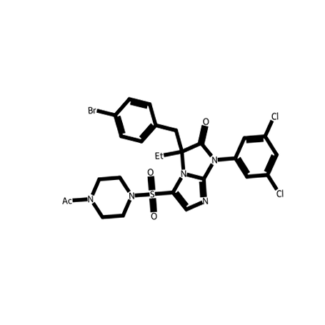 CCC1(Cc2ccc(Br)cc2)C(=O)N(c2cc(Cl)cc(Cl)c2)c2ncc(S(=O)(=O)N3CCN(C(C)=O)CC3)n21